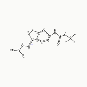 CC(C)(C)OC(=O)Nc1ccc2c(c1)CO/C2=N\OC(F)F